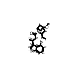 CCC1CC2(OC)CC(C2)N1C(=O)CC(C)c1c[nH]c2cccc(F)c12